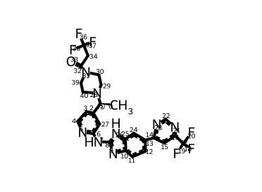 C[C@@H](c1ccnc(Nc2nc3ccc(-c4cc(C(F)(F)F)ncn4)cc3[nH]2)c1)N1CCN(C(=O)CC(F)(F)F)CC1